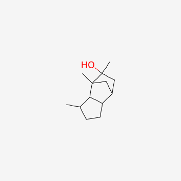 CC1CCC2C3CC(C)(O)C(C)(C3)C12